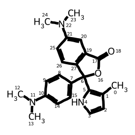 Cc1cc[nH]c1C1(c2ccc(N(C)C)cc2)OC(=O)c2cc(N(C)C)ccc21